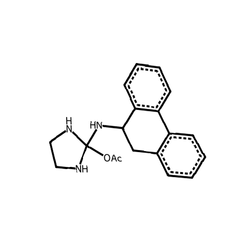 CC(=O)OC1(NC2Cc3ccccc3-c3ccccc32)NCCN1